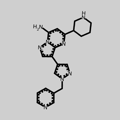 Nc1cc(C2CCCNC2)nc2c(-c3cnn(Cc4cccnc4)c3)cnn12